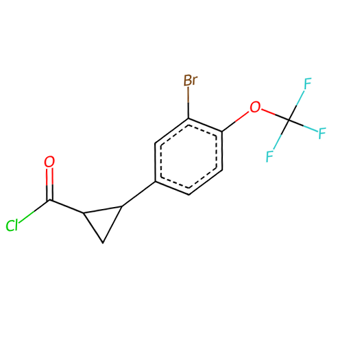 O=C(Cl)C1CC1c1ccc(OC(F)(F)F)c(Br)c1